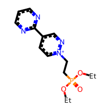 CCOP(=O)(CC[n+]1ccc(-c2ncccn2)cn1)OCC